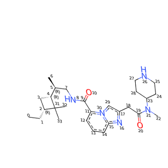 CC[C@@H]1C[C@H]([C@@H](C)CNC(=O)c2cccc3nc(CC(=O)N(C)C4CCNCC4)cn23)C1(C)C